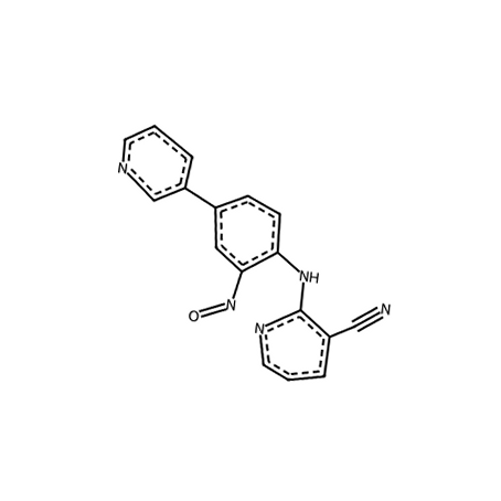 N#Cc1cccnc1Nc1ccc(-c2cccnc2)cc1N=O